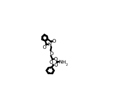 NC(=O)OC(COCCN1C(=O)c2ccccc2C1=O)OCc1ccccc1